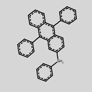 c1ccc([SiH2]c2ccc3c(-c4ccccc4)c4ccccc4c(-c4ccccc4)c3c2)cc1